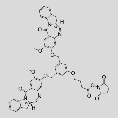 COc1cc2c(cc1OCc1cc(COc3cc4c(cc3OC)C(=O)N3c5ccccc5C[C@H]3C=N4)cc(OCCCC(=O)ON3C(=O)CCC3=O)c1)N=C[C@@H]1Cc3ccccc3N1C2=O